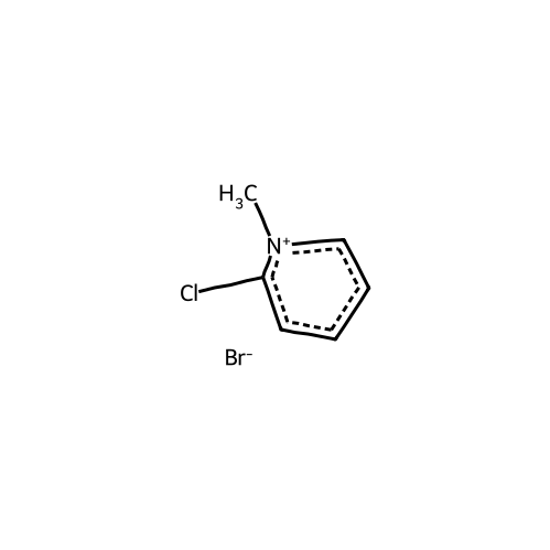 C[n+]1ccccc1Cl.[Br-]